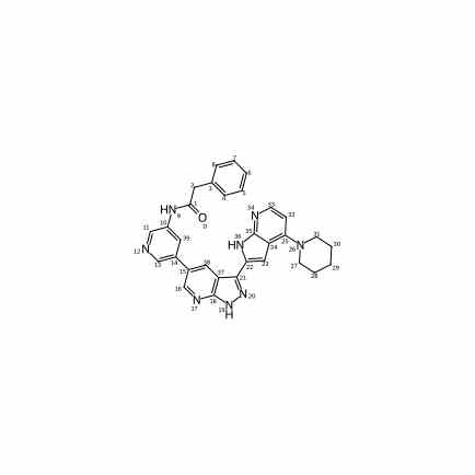 O=C(Cc1ccccc1)Nc1cncc(-c2cnc3[nH]nc(-c4cc5c(N6CCCCC6)ccnc5[nH]4)c3c2)c1